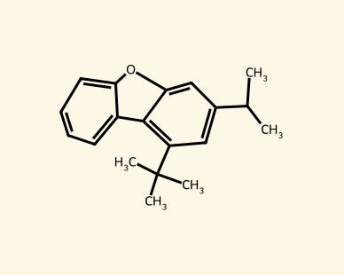 CC(C)c1cc(C(C)(C)C)c2c(c1)oc1ccccc12